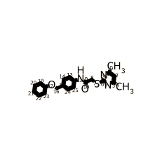 Cc1cc(C)nc(SCC(=O)Nc2ccc(COc3ccccc3)cc2)n1